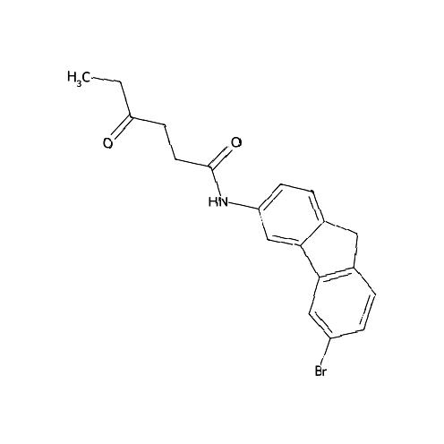 CCC(=O)CCC(=O)Nc1ccc2c(c1)-c1cc(Br)ccc1C2